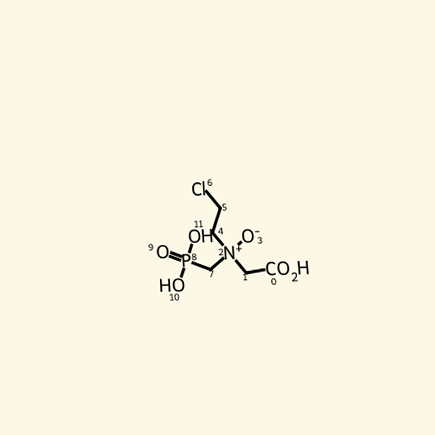 O=C(O)C[N+]([O-])(CCCl)CP(=O)(O)O